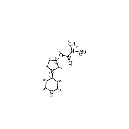 CN(C(=O)O[C@H]1CCN(C2CCOCC2)C1)C(C)(C)C